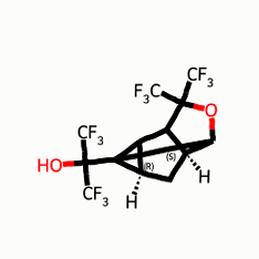 OC(C(F)(F)F)(C(F)(F)F)C12C3OC(C(F)(F)F)(C(F)(F)F)C4C1[C@H]2C[C@H]34